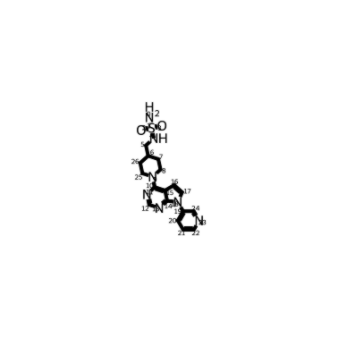 NS(=O)(=O)NCC1CCN(c2ncnc3c2ccn3-c2cccnc2)CC1